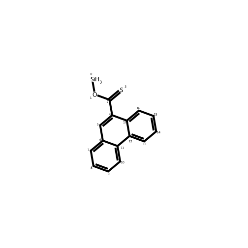 [SiH3]OC(=S)c1cc2ccccc2c2ccccc12